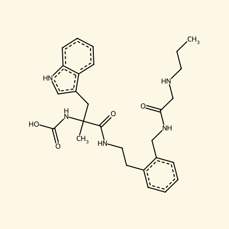 CCCNCC(=O)NCc1ccccc1CCNC(=O)C(C)(Cc1c[nH]c2ccccc12)NC(=O)O